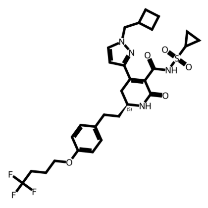 O=C1N[C@@H](CCc2ccc(OCCCC(F)(F)F)cc2)CC(c2ccn(CC3CCC3)n2)=C1C(=O)NS(=O)(=O)C1CC1